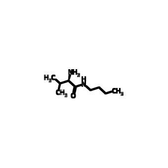 CCCCNC(=O)[C@H](N)C(C)C